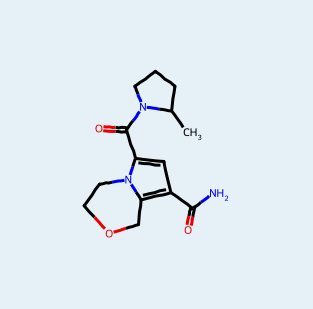 CC1CCCN1C(=O)c1cc(C(N)=O)c2n1CCOC2